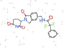 O=C1CCC(N2Cc3cc(CNC(=O)C(F)(F)c4ccccc4)ccc3C2=O)C(=O)N1